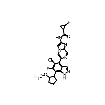 COC1CCCC1c1c(F)c(Cl)c(-c2cn3cc(NC(=O)C4CC4F)nc3cn2)c2cn[nH]c12